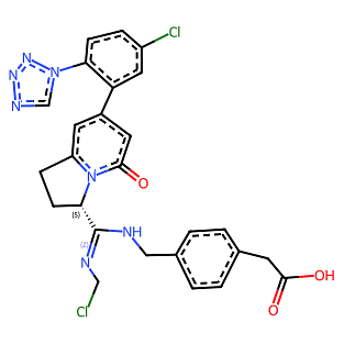 O=C(O)Cc1ccc(CN/C(=N\CCl)[C@@H]2CCc3cc(-c4cc(Cl)ccc4-n4cnnn4)cc(=O)n32)cc1